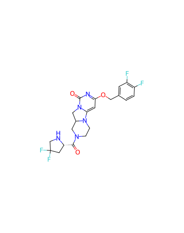 O=C([C@@H]1CC(F)(F)CN1)N1CCN2c3cc(OCc4ccc(F)c(F)c4)nc(=O)n3CC2C1